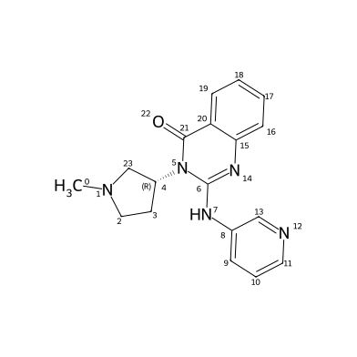 CN1CC[C@@H](n2c(Nc3cccnc3)nc3ccccc3c2=O)C1